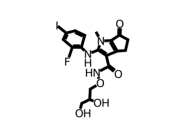 Cn1c(Nc2ccc(I)cc2F)c(C(=O)NOCC(O)CO)c2c1C(=O)CC2